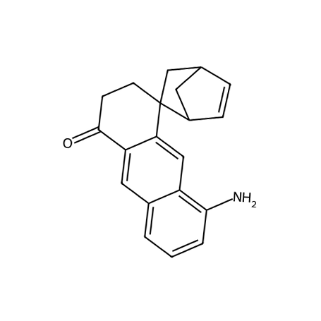 Nc1cccc2cc3c(cc12)C1(CCC3=O)CC2C=CC1C2